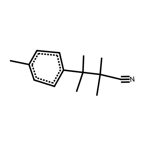 Cc1ccc(C(C)(C)C(C)(C)C#N)cc1